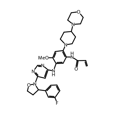 C=CC(=O)Nc1cc(Nc2cc(N3OCCC3c3cccc(F)c3)ncn2)c(OC)cc1N1CCC(N2CCOCC2)CC1